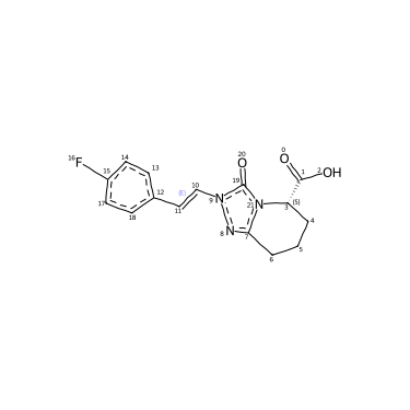 O=C(O)[C@@H]1CCCc2nn(/C=C/c3ccc(F)cc3)c(=O)n21